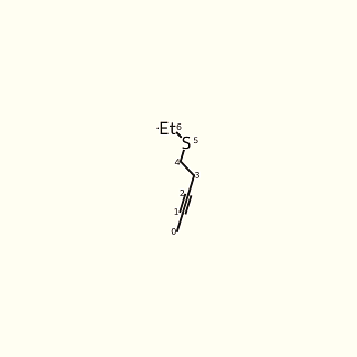 CC#CCCS[CH]C